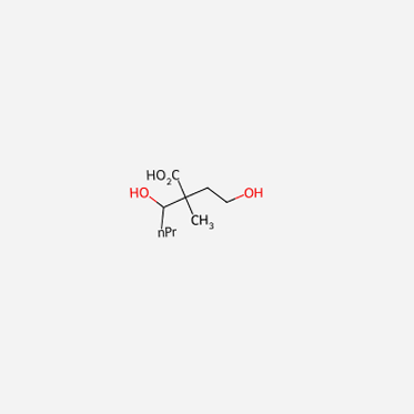 CCCC(O)C(C)(CCO)C(=O)O